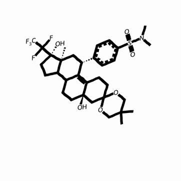 CN(C)S(=O)(=O)c1ccc([C@H]2C[C@@]3(C)C(CC[C@@]3(O)C(F)(F)C(F)(F)F)C3CC[C@@]4(O)CC5(CCC4=C32)OCC(C)(C)CO5)cc1